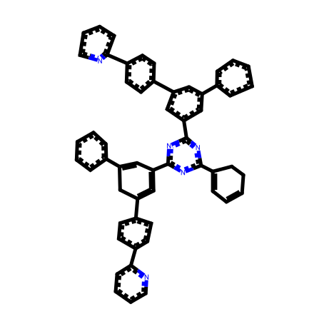 C1=C(c2ccc(-c3ccccn3)cc2)CC(c2ccccc2)=CC=1c1nc(C2=CC=CCC2)nc(-c2cc(-c3ccccc3)cc(-c3ccc(-c4ccccn4)cc3)c2)n1